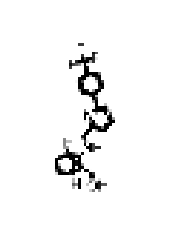 OC[C@H]1[C@H]2CC[C@H](C2)[C@H]1NCc1ccnc(-c2ccc(C(F)(F)F)cc2)n1